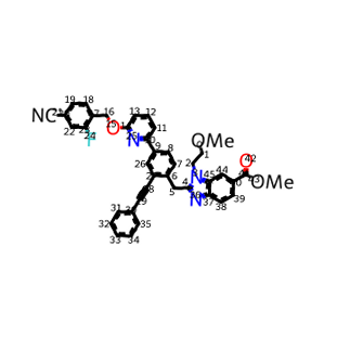 COCCn1c(Cc2ccc(-c3cccc(OCc4ccc(C#N)cc4F)n3)cc2C#Cc2ccccc2)nc2ccc(C(=O)OC)cc21